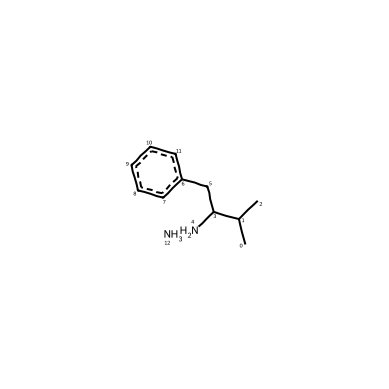 CC(C)C(N)Cc1ccccc1.N